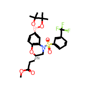 COC(=O)CC[C@H]1CN(S(=O)(=O)c2cccc(C(F)(F)F)c2)c2cc(B3OC(C)(C)C(C)(C)O3)ccc2O1